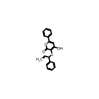 C=CC(Sc1c(O)cc(-c2ccccc2)oc1=O)c1ccccc1